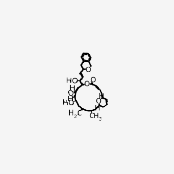 C=C1C[C@H](C)C[C@@H]2CC=C[C@@H](C/C=C\C(=O)OC([C@@H](O)/C=C/C3Cc4ccccc4CO3)C[C@@H]3O[C@H]3[C@@H](O)C1)O2